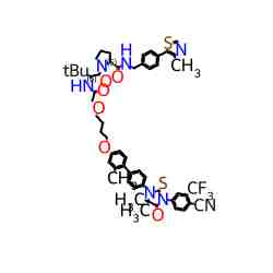 Cc1cc(OCCCCOCC(=O)N[C@H](C(=O)N2CCC[C@H]2C(=O)NCc2ccc(-c3scnc3C)cc2)C(C)(C)C)ccc1-c1ccc(N2C(=S)N(c3ccc(C#N)c(C(F)(F)F)c3)C(=O)C2(C)C)cc1